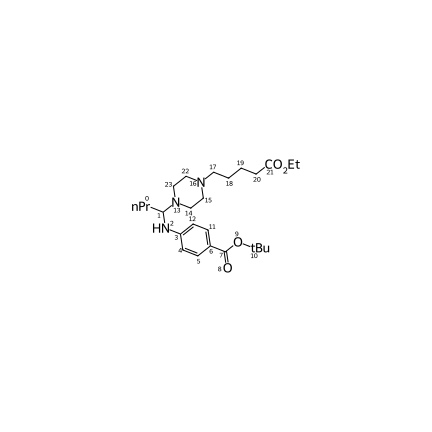 CCCC(Nc1ccc(C(=O)OC(C)(C)C)cc1)N1CCN(CCCCC(=O)OCC)CC1